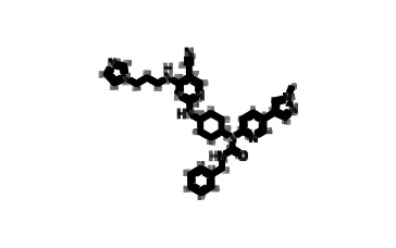 Cn1cc(-c2ccc(N(C(=O)NCc3ccccc3)C3CCC(Nc4ncc(C#N)c(NCCCn5ccnc5)n4)CC3)nc2)cn1